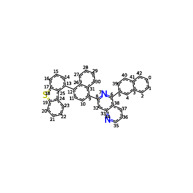 c1ccc2cc(-c3nc(-c4ccc(-c5cccc6sc7ccccc7c56)c5ccccc45)cc4ncccc34)ccc2c1